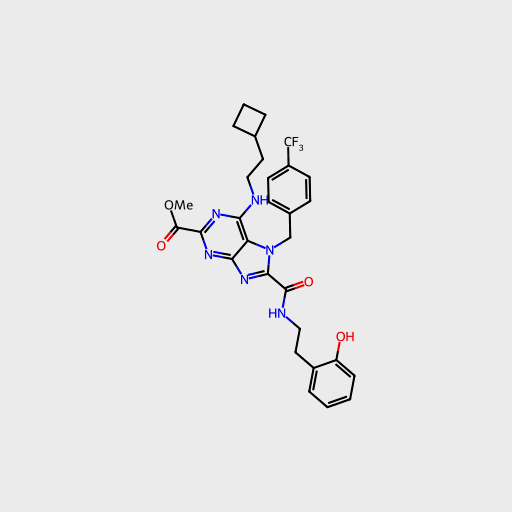 COC(=O)c1nc(NCCC2CCC2)c2c(n1)nc(C(=O)NCCc1ccccc1O)n2Cc1ccc(C(F)(F)F)cc1